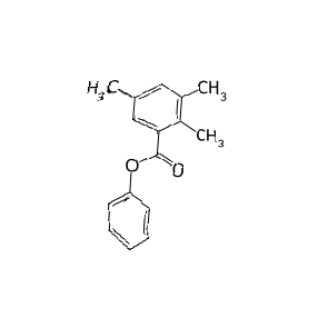 Cc1cc(C)c(C)c(C(=O)Oc2ccccc2)c1